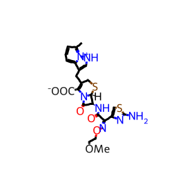 COCCO/N=C(\C(=O)N[C@@H]1C(=O)N2C(C(=O)[O-])=C(Cc3c[nH][n+]4c(C)cccc34)CS[C@@H]12)c1csc(N)n1